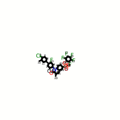 COc1cc(-c2ccc(Cl)c(C)c2)c(F)cc1-n1c(=O)c(C)cc2cc(S(=O)(=O)Oc3c(F)c(F)c(F)c(F)c3F)ccc21